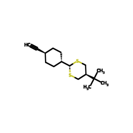 C#C[C@H]1CC[C@H]([C@H]2SC[C@H](C(C)(C)C)CS2)CC1